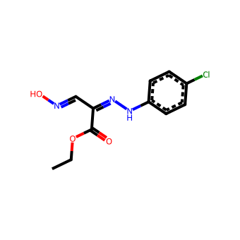 CCOC(=O)C(/C=N/O)=N\Nc1ccc(Cl)cc1